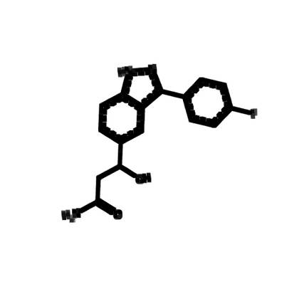 NC(=O)CC(O)c1ccc2[nH]nc(-c3ccc(F)cc3)c2c1